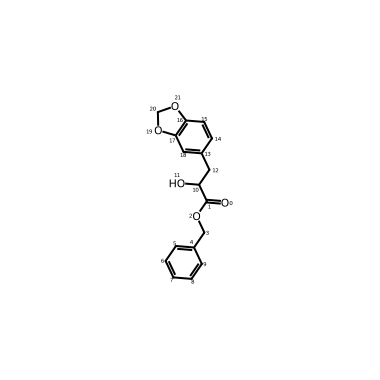 O=C(OCc1ccccc1)C(O)Cc1ccc2c(c1)OCO2